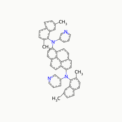 Cc1ccc2ccc(C)c(N(c3cccnc3)c3ccc4ccc5c(N(c6cccnc6)c6c(C)ccc7ccc(C)cc67)ccc6ccc3c4c65)c2c1